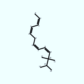 C/C=C\C=C/C/C=C\C=C/C(C)(C)C(C)C